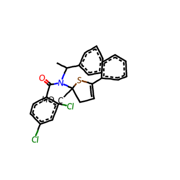 CC(c1ccccc1)N(C(=O)c1ccc(Cl)cc1Cl)C1(C(=O)O)CC=C(c2ccccc2)S1